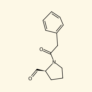 O=C[C@@H]1CCCN1C(=O)Cc1ccccc1